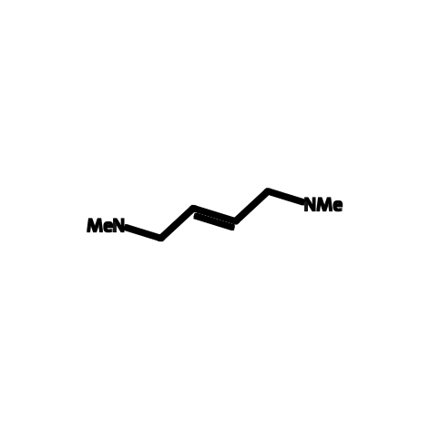 CNC/C=C/CNC